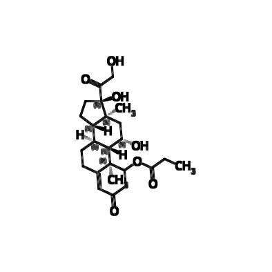 CCC(=O)OC1CC(=O)C=C2CC[C@@H]3[C@H]([C@@H](O)C[C@@]4(C)[C@H]3CC[C@]4(O)C(=O)CO)[C@]21C